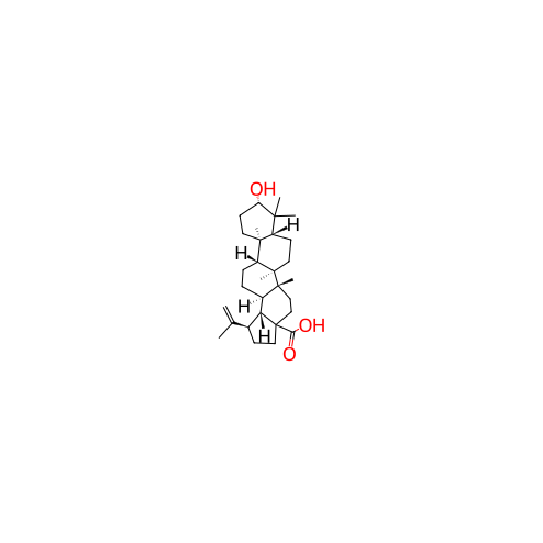 C=C(C)[C@@H]1CCC2(C(=O)O)CC[C@]3(C)[C@H](CC[C@@H]4[C@@]5(C)CC[C@H](O)C(C)(C)[C@@H]5CC[C@]43C)[C@@H]12